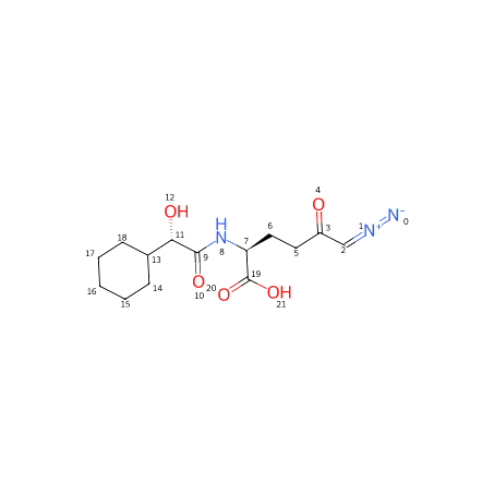 [N-]=[N+]=CC(=O)CC[C@H](NC(=O)[C@@H](O)C1CCCCC1)C(=O)O